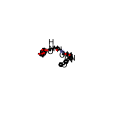 CC1=CC(C)=[N+]2C1=Cc1ccc(CCC(=O)NCCN3CCN(C/C=C/C(=O)N4CC(n5ccc6ncnc(Oc7ccc(Oc8ccccc8)cc7)c65)C4)CC3)n1[B-]2(F)F